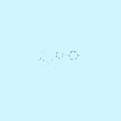 CC(C)(c1csc(-c2ccc(F)cc2)n1)N(C(=O)O)[C@@H]1CN2CCC1CC2